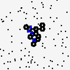 c1ccc2c(-c3ccc(-c4nc5ccccc5nc4-n4c5cccc(-n6c7ccccc7c7ccccc76)c5c5c6ccccc6ccc54)cc3)cccc2c1